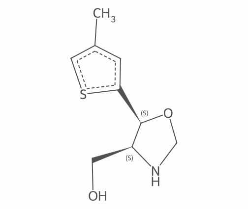 Cc1csc([C@H]2OCN[C@H]2CO)c1